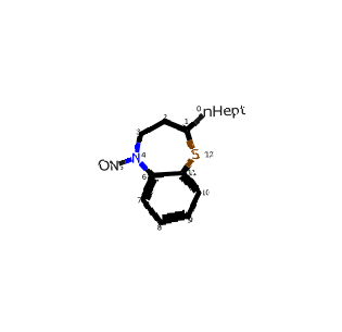 CCCCCCCC1CCN(N=O)c2ccccc2S1